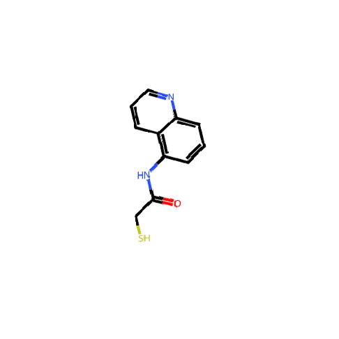 O=C(CS)Nc1cccc2ncccc12